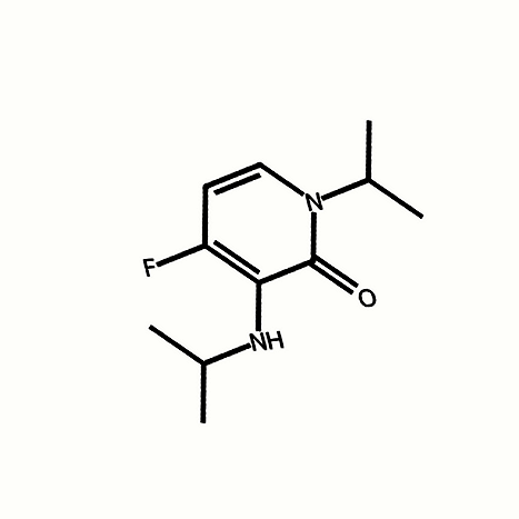 CC(C)Nc1c(F)ccn(C(C)C)c1=O